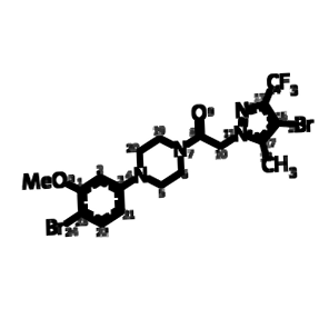 COc1cc(N2CCN(C(=O)Cn3nc(C(F)(F)F)c(Br)c3C)CC2)ccc1Br